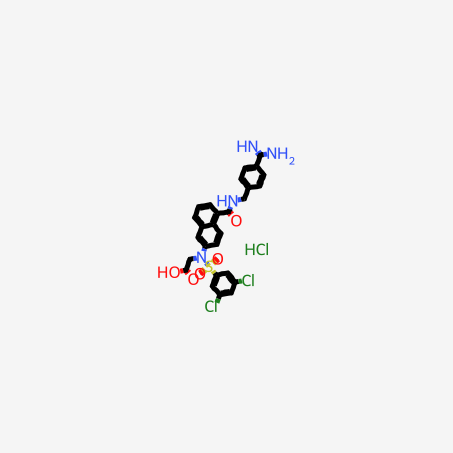 Cl.N=C(N)c1ccc(CNC(=O)c2cccc3cc(N(CC(=O)O)S(=O)(=O)c4cc(Cl)cc(Cl)c4)ccc23)cc1